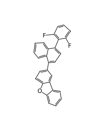 Fc1cccc(F)c1-c1ccc(-c2ccc3oc4ccccc4c3c2)c2ccccc12